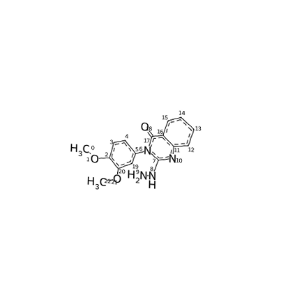 COc1ccc(-n2c(NN)nc3ccccc3c2=O)cc1OC